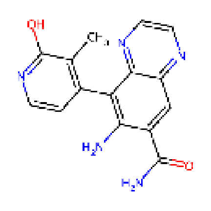 Cc1c(-c2c(N)c(C(N)=O)cc3nccnc23)ccnc1O